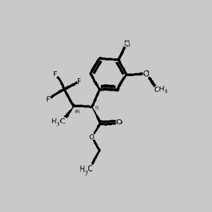 CCOC(=O)[C@H](c1ccc(Cl)c(OC)c1)[C@@H](C)C(F)(F)F